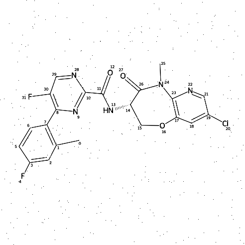 Cc1cc(F)ccc1-c1nc(C(=O)N[C@H]2COc3cc(Cl)cnc3N(C)C2=O)ncc1F